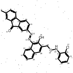 Cc1ccc2c(c1)C(=O)c1cc(N=Nc3c(O)c(CONc4ccccc4Cl)cc4ccccc34)ccc1-2